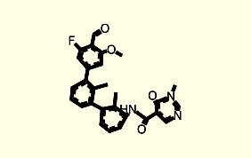 COc1cc(-c2cccc(-c3cccc(NC(=O)c4cncn(C)c4=O)c3C)c2C)cc(F)c1C=O